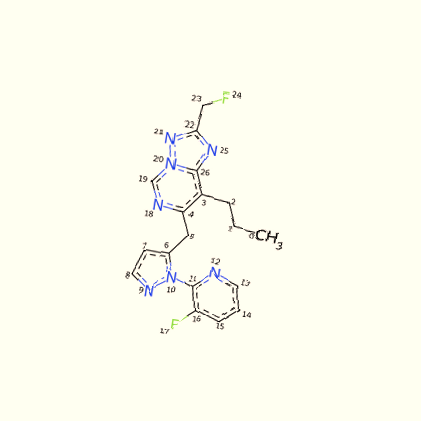 CCCc1c(Cc2ccnn2-c2ncccc2F)ncn2nc(CF)nc12